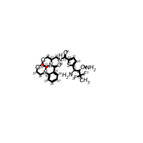 CC(F)(F)C(ON)[C@@H](N)c1ccc(C(=O)NCC2COCCN2C(=O)c2ccccc2N2CCOCC2)s1